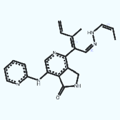 C=C/C(C)=C(/C=N\N/C=C\C)c1ncc(Nc2ccccn2)c2c1CNC2=O